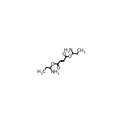 CCC(N)OC(=O)/C=C/C(=O)OC(N)CC